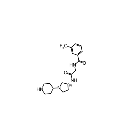 O=C(CNC(=O)c1cccc(C(F)(F)F)c1)N[C@@H]1CCN(C2CCNCC2)C1